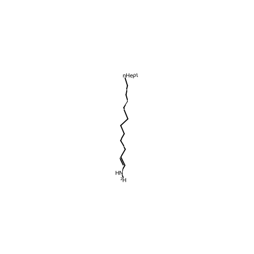 [2H]NC=CCCCCCCCCCCCCCCCC